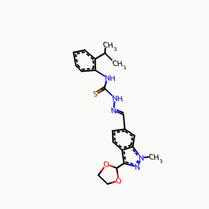 CC(C)c1ccccc1NC(=S)N/N=C/c1ccc2c(C3OCCO3)nn(C)c2c1